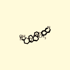 C[C@]12CC=C3C=C4CCC(=NO)C[C@]45CCC3(O5)[C@@H]1CC[C@@H]2c1ccc2ccncc2c1